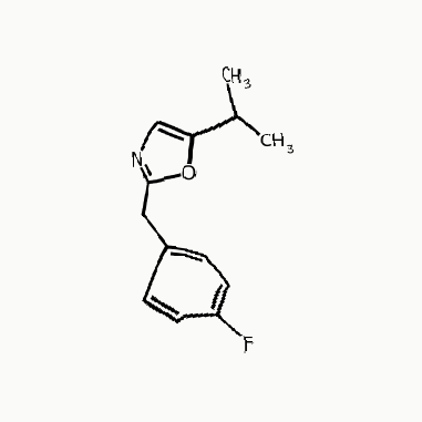 CC(C)c1cnc(Cc2ccc(F)cc2)o1